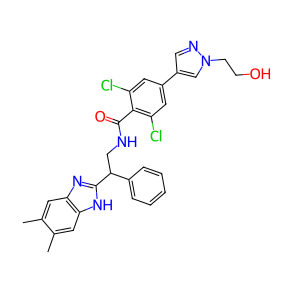 Cc1cc2nc(C(CNC(=O)c3c(Cl)cc(-c4cnn(CCO)c4)cc3Cl)c3ccccc3)[nH]c2cc1C